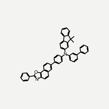 CC1(C)c2ccccc2-c2ccc(N(c3ccc(-c4ccc5c(ccc6nc(-c7ccccc7)oc65)c4)cc3)c3cccc(-c4ccccc4)c3)cc21